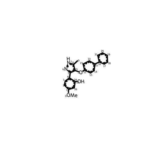 COc1ccc(-c2n[nH]c(C)c2Oc2ccc(-c3ccccc3)cc2)c(O)c1